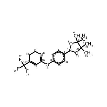 CC1(C)OB(c2ccc(OC3=NCCC(C(F)(F)F)=C3)cc2)OC1(C)C